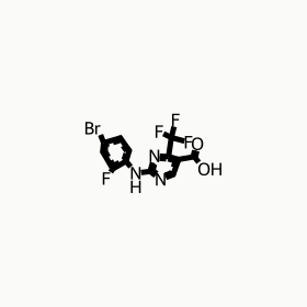 O=C(O)c1cnc(Nc2ccc(Br)cc2F)nc1C(F)(F)F